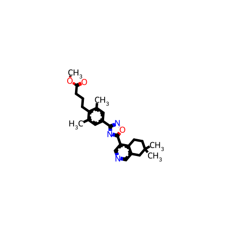 COC(=O)CCCc1c(C)cc(-c2noc(-c3cncc4c3CCC(C)(C)C4)n2)cc1C